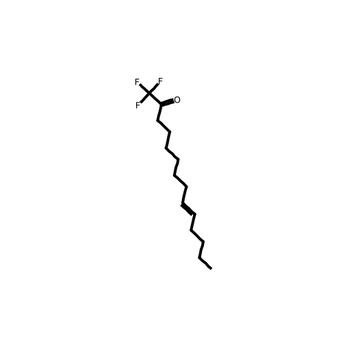 CCCCC=CCCCCCCC(=O)C(F)(F)F